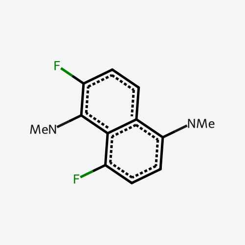 CNc1ccc(F)c2c(NC)c(F)ccc12